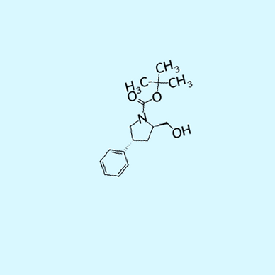 CC(C)(C)OC(=O)N1C[C@@H](c2ccccc2)C[C@@H]1CO